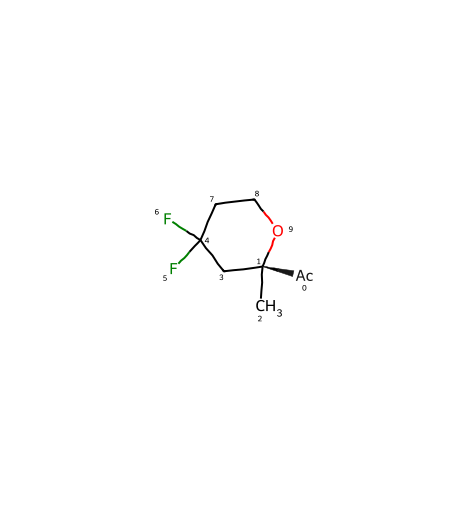 CC(=O)[C@@]1(C)CC(F)(F)CCO1